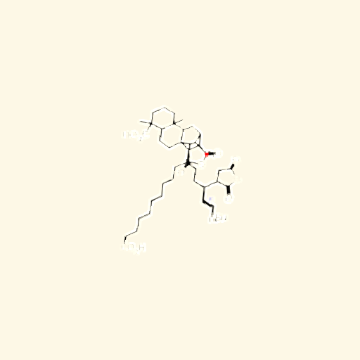 CCCC/C=C/C(CCC(CCCCCCCCCC(=O)O)C1C(C(C)C)C2CC3C4(C)CCCC(C)(C(=O)O)C4CCC13C1C(=O)OC(=O)C21)C1CC(=O)OC1=O